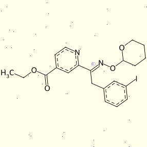 CCOC(=O)c1ccnc(/C(Cc2cccc(I)c2)=N/OC2CCCCO2)c1